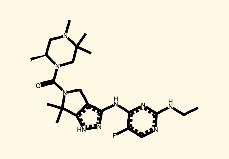 CCNc1ncc(F)c(Nc2n[nH]c3c2CN(C(=O)N2CC(C)(C)N(C)C[C@@H]2C)C3(C)C)n1